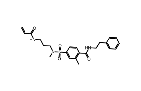 C=CC(=O)NCCCN(C)S(=O)(=O)c1ccc(C(=O)NCCc2ccccc2)c(C)c1